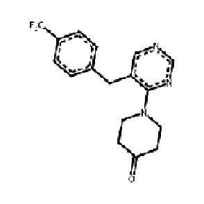 O=C1CCN(c2ncncc2Cc2ccc(C(F)(F)F)cc2)CC1